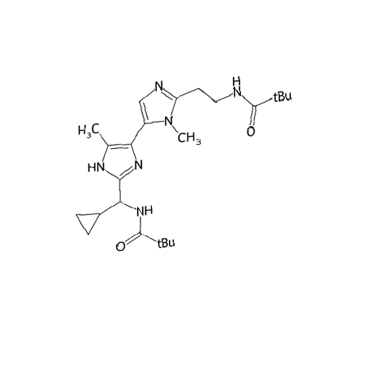 Cc1[nH]c(C(NC(=O)C(C)(C)C)C2CC2)nc1-c1cnc(CCNC(=O)C(C)(C)C)n1C